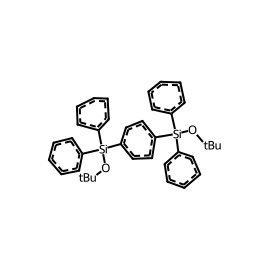 CC(C)(C)O[Si](c1ccccc1)(c1ccccc1)c1ccc([Si](OC(C)(C)C)(c2ccccc2)c2ccccc2)cc1